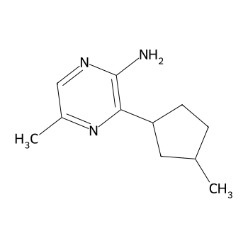 Cc1cnc(N)c(C2CCC(C)C2)n1